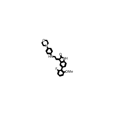 COc1cccc(F)c1-c1ccc2c(c1)/C(=C/CNc1ccc(N3CCOCC3)cc1)C(=O)N2